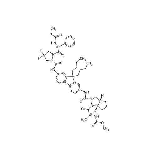 CCCCC1(CCCC)c2cc(NC(=O)[C@@H]3CC(F)(F)CN3C(=O)[C@H](NC(=O)OC)c3ccccc3)ccc2-c2ccc(NC(=O)[C@@H]3C[C@@H]4CCC[C@@H]4N3C(=O)[C@@H](C)NC(=O)OC)cc21